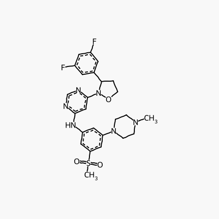 CN1CCN(c2cc(Nc3cc(N4OCCC4c4cc(F)cc(F)c4)ncn3)cc(S(C)(=O)=O)c2)CC1